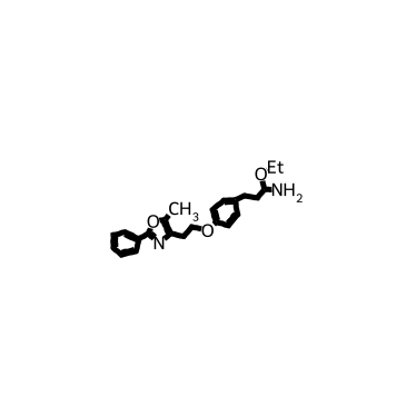 CCOC(N)CCc1ccc(OCCc2nc(-c3ccccc3)oc2C)cc1